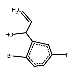 C=CC(O)c1cc(F)ccc1Br